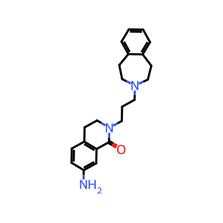 Nc1ccc2c(c1)C(=O)N(CCCN1CCc3ccccc3CC1)CC2